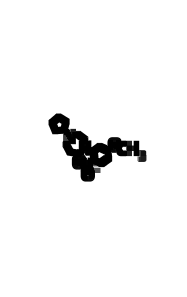 COc1ccc([N+](=O)[O-])c(N2CCCN(C3CCCC3)CC2)c1